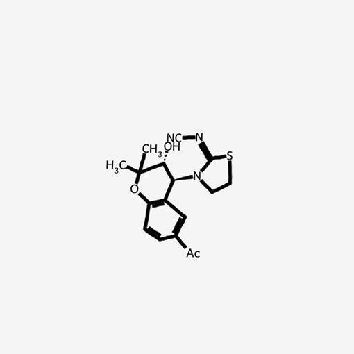 CC(=O)c1ccc2c(c1)[C@H](N1CCS/C1=N/C#N)[C@@H](O)C(C)(C)O2